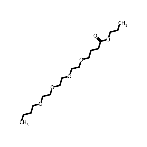 CCCCOCCOCCOCCOCCCC(=O)OCCC